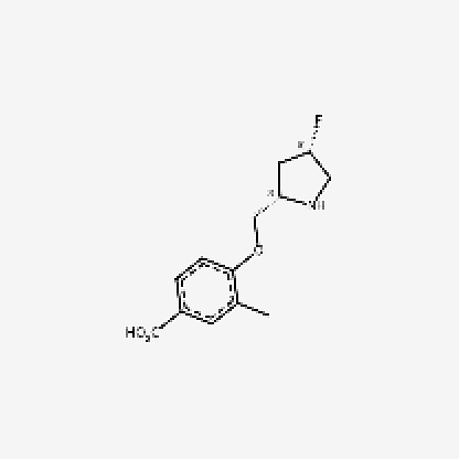 Cc1cc(C(=O)O)ccc1OC[C@@H]1C[C@H](F)CN1